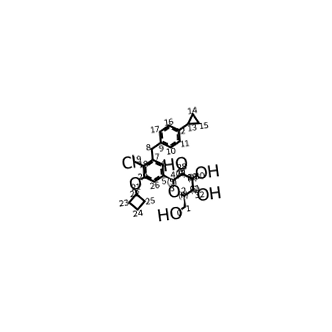 OC[C@H]1O[C@@H](c2cc(Cc3ccc(C4CC4)cc3)c(Cl)c(OC3CCC3)c2)[C@H](O)[C@@H](O)[C@@H]1O